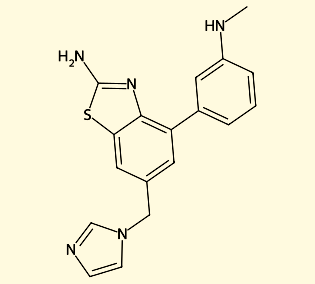 CNc1cccc(-c2cc(Cn3ccnc3)cc3sc(N)nc23)c1